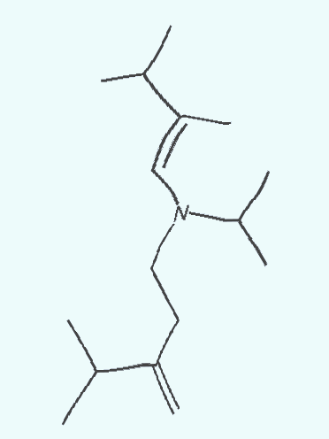 C=C(CCN(/C=C(\C)C(C)C)C(C)C)C(C)C